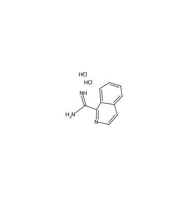 Cl.Cl.N=C(N)c1nccc2ccccc12